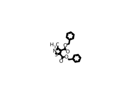 Cc1nsc(C(=O)OCc2ccccc2)c1C(=O)OCc1ccccc1